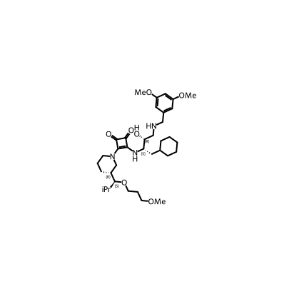 COCCCO[C@@H](C(C)C)[C@@H]1CCCN(c2c(N[C@@H](CC3CCCCC3)[C@H](O)CNCc3cc(OC)cc(OC)c3)c(=O)c2=O)C1